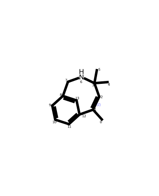 C/C1=C/C(C)(C)NCc2cccc1c2